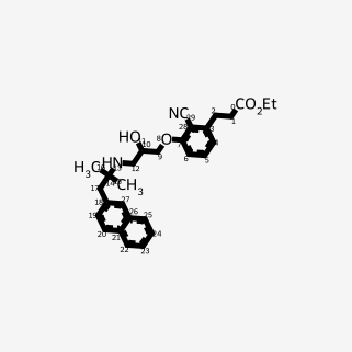 CCOC(=O)CCc1cccc(OCC(O)CNC(C)(C)Cc2ccc3ccccc3c2)c1C#N